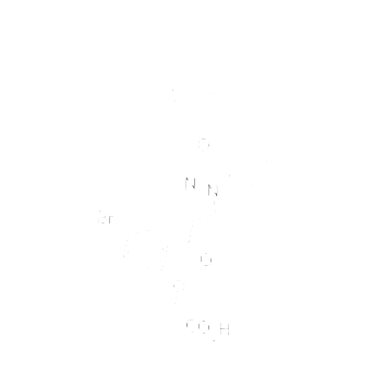 O=C(O)COc1ccc(Br)cc1C(=O)c1cnn(-c2ccccc2Oc2ccccc2)c1